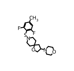 Cc1cc(F)c(SN2CCC3(CC2)CC(N2CCOCC2)CO3)c(F)c1